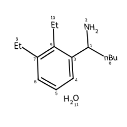 CCCCC(N)c1cccc(CC)c1CC.O